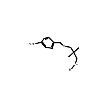 COc1ccc(COCC(C)(C)[CH2][Zn][Br])cc1